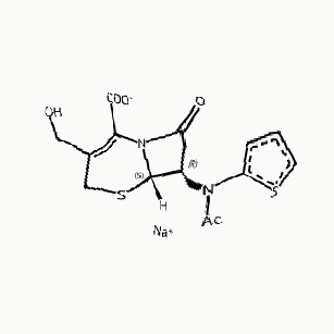 CC(=O)N(c1cccs1)[C@@H]1C(=O)N2C(C(=O)[O-])=C(CO)CS[C@@H]12.[Na+]